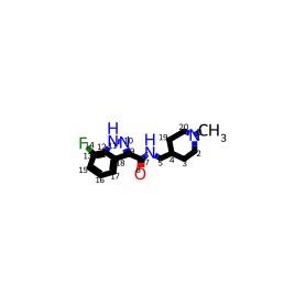 CN1CCC(CNC(=O)c2n[nH]c3c(F)cccc23)CC1